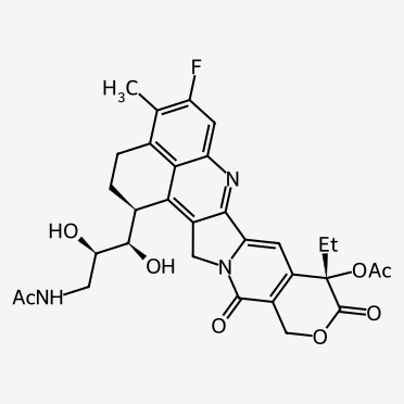 CC[C@@]1(OC(C)=O)C(=O)OCc2c1cc1n(c2=O)Cc2c-1nc1cc(F)c(C)c3c1c2[C@@H]([C@@H](O)[C@H](O)CNC(C)=O)CC3